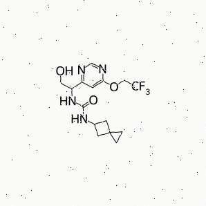 O=C(NC1CC2(CC2)C1)NC(CO)c1cc(OCC(F)(F)F)ncn1